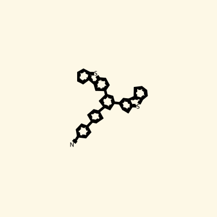 N#Cc1ccc(-c2ccc(-c3cc(-c4ccc5sc6ccccc6c5c4)cc(-c4ccc5sc6ccccc6c5c4)c3)cc2)cc1